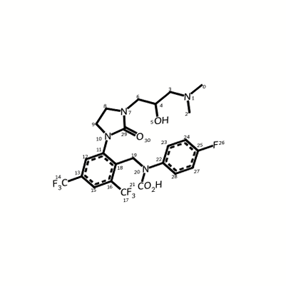 CN(C)CC(O)CN1CCN(c2cc(C(F)(F)F)cc(C(F)(F)F)c2CN(C(=O)O)c2ccc(F)cc2)C1=O